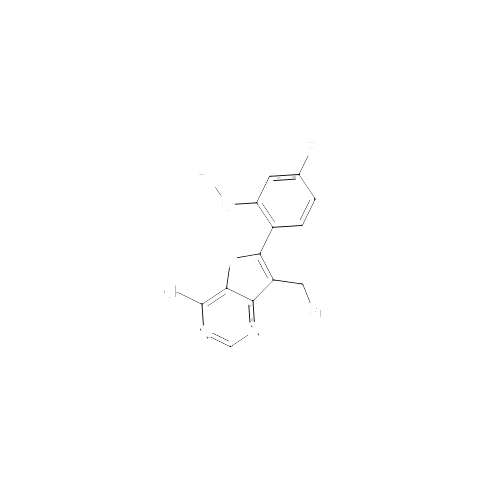 CCOc1cc(F)ccc1-c1sc2c(Cl)ncnc2c1CBr